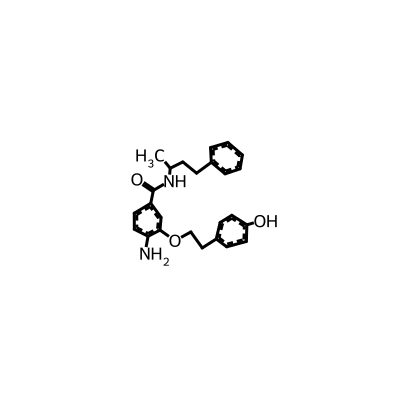 CC(CCc1ccccc1)NC(=O)c1ccc(N)c(OCCc2ccc(O)cc2)c1